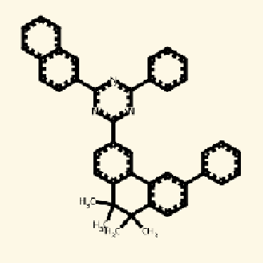 CC1(C)c2ccc(-c3ccccc3)cc2-c2cc(-c3nc(-c4ccccc4)nc(-c4ccc5ccccc5c4)n3)ccc2C1(C)C